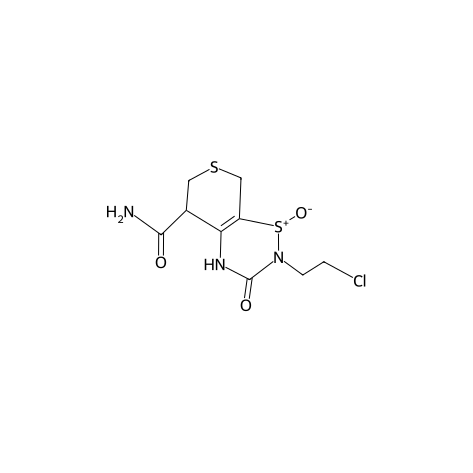 NC(=O)C1CSCC2=C1NC(=O)N(CCCl)[S+]2[O-]